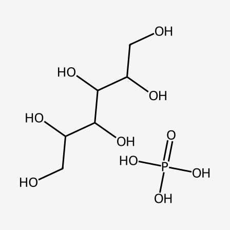 O=P(O)(O)O.OCC(O)C(O)C(O)C(O)CO